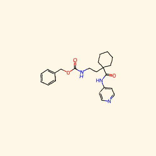 O=C(NCCC1(C(=O)Nc2ccncc2)CCCCC1)OCc1ccccc1